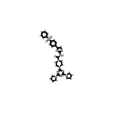 O=C(Nc1nc(-c2ccc(S(=O)(=O)c3ccccc3)cc2)cs1)N1CCN(c2nc(N3CCCC3)nc(N3CCCC3)n2)CC1